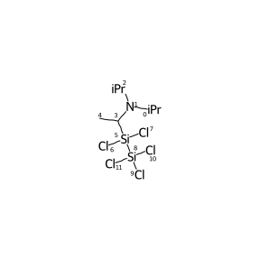 CC(C)N(C(C)C)C(C)[Si](Cl)(Cl)[Si](Cl)(Cl)Cl